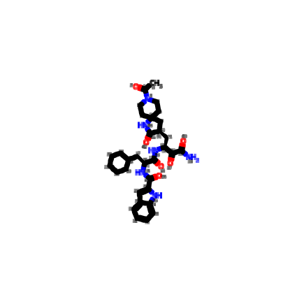 CC(=O)N1CCC2(CC1)C[C@@H](C[C@H](NC(=O)[C@H](CC1CCCCC1)NC(=O)c1cc3ccccc3[nH]1)C(=O)C(N)=O)C(=O)N2